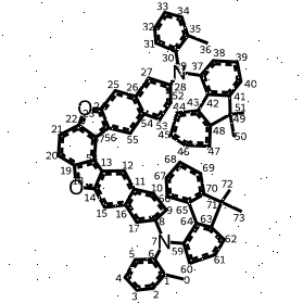 Cc1ccccc1N(c1ccc2cc3c(cc2c1)oc1ccc2oc4cc5cc(N(c6ccccc6C)c6cccc7c6-c6ccccc6C7(C)C)ccc5cc4c2c13)c1cccc2c1-c1ccccc1C2(C)C